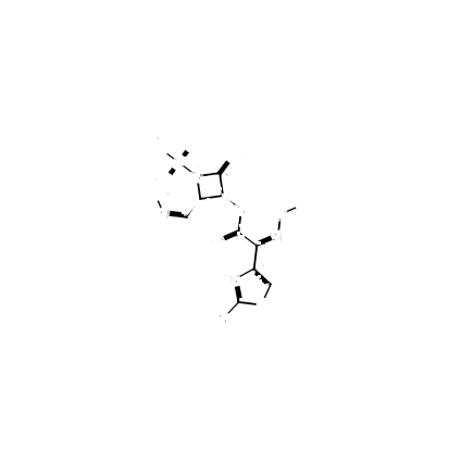 CO/N=C(\C(=O)N[C@@H]1C(=O)N(S(=O)(=O)O)[C@@H]1/C=N\O)c1csc(N)n1